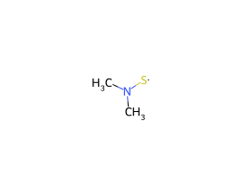 CN(C)[S]